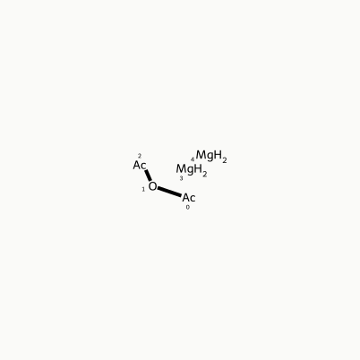 CC(=O)OC(C)=O.[MgH2].[MgH2]